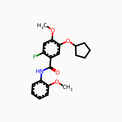 COc1ccccc1NC(=O)c1cc(OC2CCCC2)c(OC)cc1F